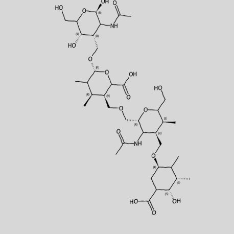 CC(=O)NC1[C@H](COC[C@@H]2C(C(=O)O)O[C@@H](OC[C@H]3C(NC(C)=O)[C@H](O)OC(CO)[C@H]3O)C(C)[C@@H]2C)OC(CO)[C@@H](C)[C@H]1CO[C@@H]1CC(C(=O)O)[C@@H](O)[C@@H](C)C1C